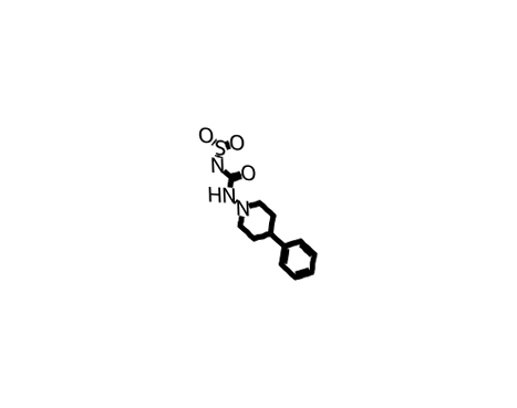 O=C(N=S(=O)=O)NN1CCC(c2ccccc2)CC1